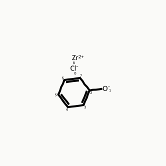 [Cl-].[O-]c1ccccc1.[Zr+2]